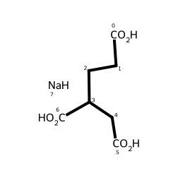 O=C(O)CCC(CC(=O)O)C(=O)O.[NaH]